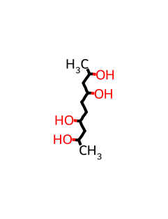 CC(O)CC(O)CCC(O)CC(C)O